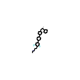 C/C=C/CCc1c(F)cc(-c2ccc(-c3ccc(C[C@H](C)c4ccccc4)cc3)cc2)cc1F